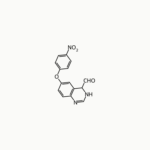 O=CC1NC=Nc2ccc(Oc3ccc([N+](=O)[O-])cc3)cc21